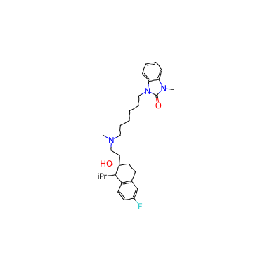 CC(C)C1c2ccc(F)cc2CC[C@]1(O)CCN(C)CCCCCCn1c(=O)n(C)c2ccccc21